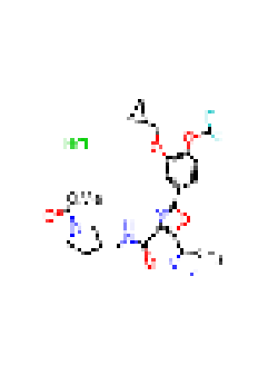 COC(=O)N1CC[C@@H](CNC(=O)c2nc(-c3ccc(OC(F)F)c(OCC4CC4)c3)oc2C(C)N)C1.Cl